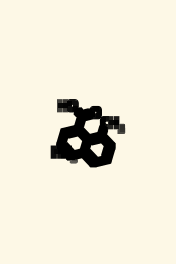 Cc1cccc2cccc(C(=O)O)c12.[InH3]